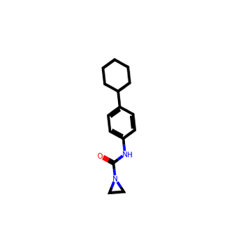 O=C(Nc1ccc(C2CCCCC2)cc1)N1CC1